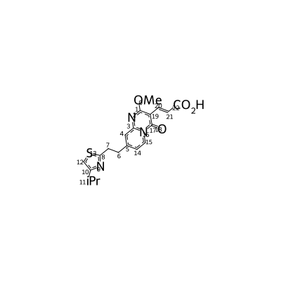 COc1nc2cc(CCc3nc(C(C)C)cs3)ccn2c(=O)c1C=CC(=O)O